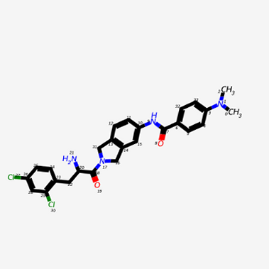 CN(C)c1ccc(C(=O)Nc2ccc3c(c2)CN(C(=O)C(N)Cc2ccc(Cl)cc2Cl)C3)cc1